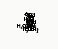 Cc1ccc([C@H](Nc2nsnc2Nc2ccc(Cl)c(S(=O)(=O)N3CCCC3)c2O)C(C)(C)C)o1